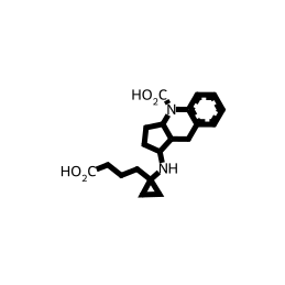 O=C(O)CCCC1(NC2CCC3C2Cc2ccccc2N3C(=O)O)CC1